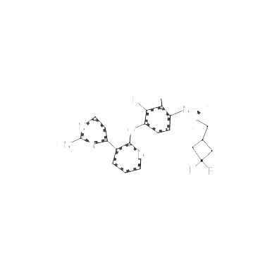 Nc1nccc(-c2cccnc2Oc2ccc(NS(=O)(=O)CC3CC(F)(F)C3)c(F)c2F)n1